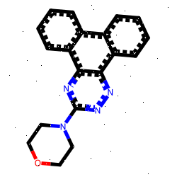 c1ccc2c(c1)c1ccccc1c1nc(N3CCOCC3)nnc21